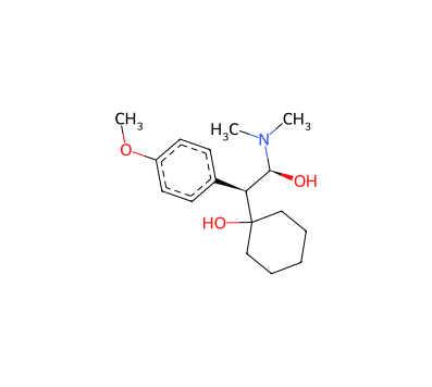 COc1ccc([C@@H]([C@H](O)N(C)C)C2(O)CCCCC2)cc1